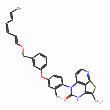 Cc1cc(Oc2cccc(CO/C=C/C=C\C=C\C#N)c2)ccc1N1C(=O)Nc2c(C(=O)O)sc3nccc1c23